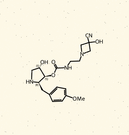 COc1ccc(C[C@H]2NC[C@H](O)[C@H]2OC(=O)NCCN2CC(O)(C#N)C2)cc1